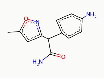 Cc1cc(C(C(N)=O)c2ccc(N)cc2)no1